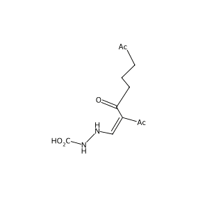 CC(=O)CCCC(=O)/C(=C\NNC(=O)O)C(C)=O